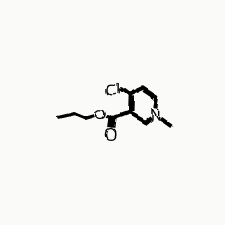 CCCOC(=O)C1=C(Cl)C=CN(C)C1